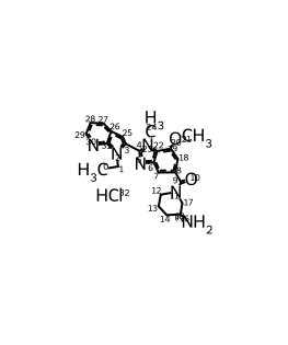 CCn1c(-c2nc3cc(C(=O)N4CCC[C@@H](N)C4)cc(OC)c3n2C)cc2cccnc21.Cl